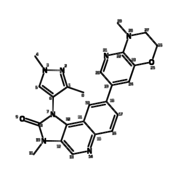 Cc1nn(C)cc1-n1c(=O)n(C)c2cnc3ccc(-c4cnc5c(c4)OCCN5C)cc3c21